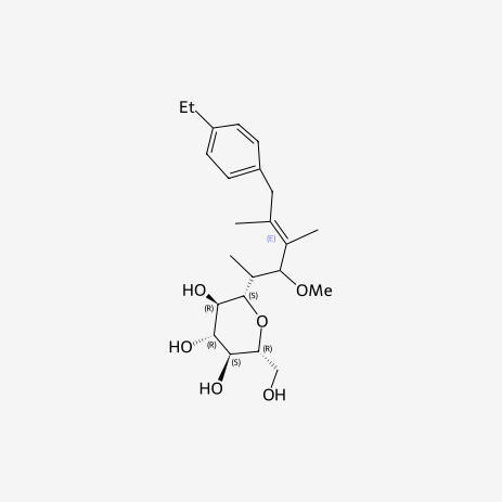 CCc1ccc(C/C(C)=C(\C)C(OC)C(C)[C@@H]2O[C@H](CO)[C@@H](O)[C@H](O)[C@H]2O)cc1